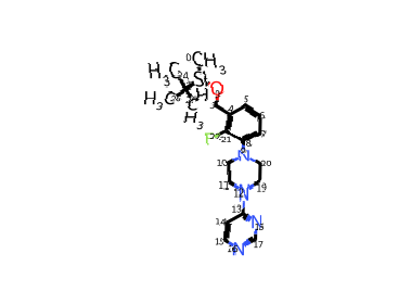 C[SiH](OCc1cccc(N2CCN(c3ccncn3)CC2)c1F)C(C)(C)C